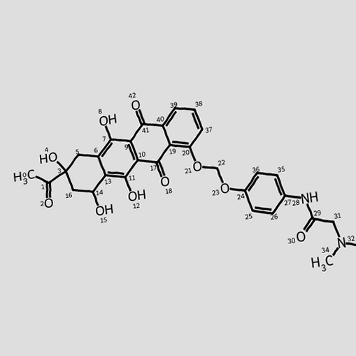 CC(=O)C1(O)Cc2c(O)c3c(c(O)c2C(O)C1)C(=O)c1c(OCOc2ccc(NC(=O)CN(C)C)cc2)cccc1C3=O